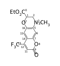 CCOC(=O)C1CN(C)c2cc3oc(=O)cc(C(F)(F)F)c3cc2O1